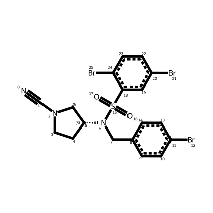 N#CN1CC[C@@H](N(Cc2ccc(Br)cc2)S(=O)(=O)c2cc(Br)ccc2Br)C1